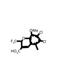 COc1c(Cl)c(Cl)c(C)c2c1OC(C(F)(F)F)C(C(=O)O)=C2